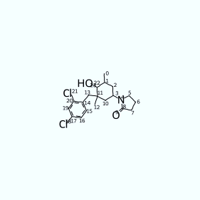 CC1CC(N2CCCC2=O)CC(C)(Cc2ccc(Cl)cc2Cl)C1O